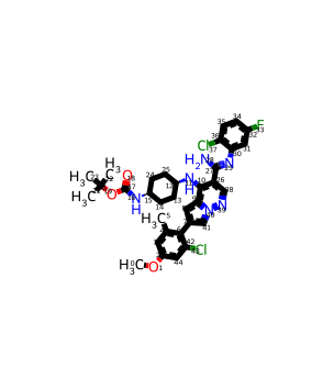 COc1cc(C)c(-c2cc3c(N[C@H]4CC[C@H](NC(=O)OC(C)(C)C)CC4)c(/C(N)=N/c4cc(F)ccc4Cl)cnn3c2)c(Cl)c1